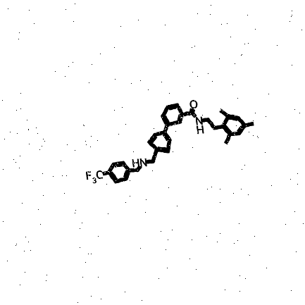 Cc1cc(C)c(CCNC(=O)c2cccc(-c3ccc(CNCc4ccc(C(F)(F)F)cc4)cc3)c2)c(C)c1